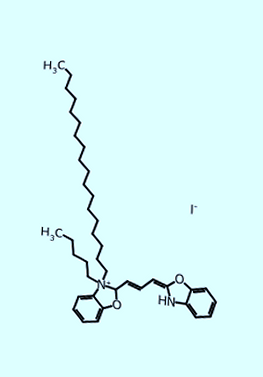 CCCCCCCCCCCCCCCCCC[N+]1(CCCCC)c2ccccc2OC1C=CC=C1Nc2ccccc2O1.[I-]